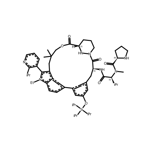 CCn1c(-c2cccnc2C(C)C)c2c3cc(ccc31)-c1cc(cc(O[Si](C(C)C)(C(C)C)C(C)C)c1)C[C@H](NC(=O)[C@H](C(C)C)N(C)C(=O)[C@H]1CCCN1)C(=O)N1CCC[C@H](N1)C(=O)OCC(C)(C)C2